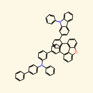 c1ccc(-c2ccc(N(c3ccccc3)c3cccc(-c4cccc(-c5cccc6oc7cccc(-c8ccccc8-c8ccc9c%10ccccc%10n(-c%10ccccc%10)c9c8)c7c56)c4)c3)cc2)cc1